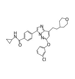 O=C(NC1CC1)c1ccc(-c2cnc3c(CCC4CCOCC4)cc(Oc4cccc(Cl)c4)nn23)cc1